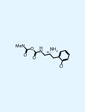 CNC(=O)OC(=O)NC[C@H](N)Cc1ccccc1Cl